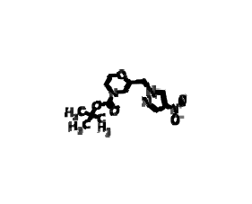 CC(C)(C)OC(=O)N1CCOC(Cn2cc([N+](=O)[O-])cn2)C1